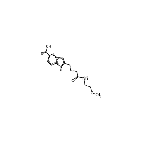 COCCNC(=O)CCCc1cc2cc(C(=O)O)ccc2[nH]1